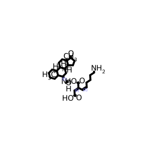 C[C@]12CCCCC1/C(=N/O)C[C@@H]1[C@@H]2CC[C@]2(C)C(=O)CC[C@@H]12.NCCCC/C=C\C(=C/C(=O)O)C(=O)O